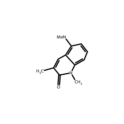 CNc1cccc2c1cc(C)c(=O)n2C